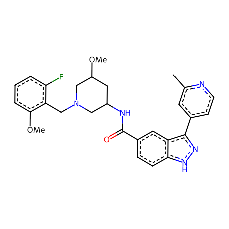 COc1cccc(F)c1CN1CC(NC(=O)c2ccc3[nH]nc(-c4ccnc(C)c4)c3c2)CC(OC)C1